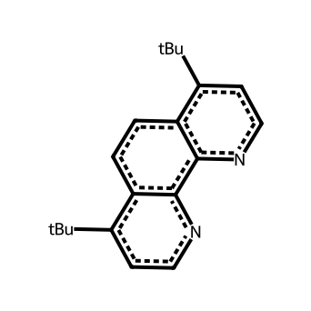 CC(C)(C)c1ccnc2c1ccc1c(C(C)(C)C)ccnc12